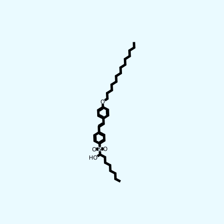 CCCCCCCCCCCCCCOc1ccc(C=Cc2ccc(S(=O)(=O)C(O)CCCCCCC)cc2)cc1